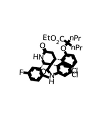 CCCC(CCC)(Oc1ccc(Cl)cc1[C@H]1CC(=O)N[C@@H](c2cc(F)ccc2C)[C@]12C(=O)Nc1cc(Cl)ccc12)C(=O)OCC